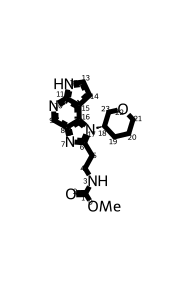 COC(=O)NCCc1nc2cnc3[nH]ccc3c2n1[C@H]1CCCOC1